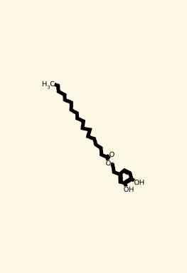 CCCCCCCCCCCCCCCCCC(=O)OCCc1ccc(O)c(O)c1